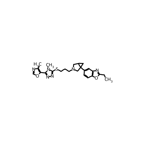 CCc1nc2cc(C34CC3CN(CCCSc3nnc(-c5ocnc5C)n3C)C4)ccc2o1